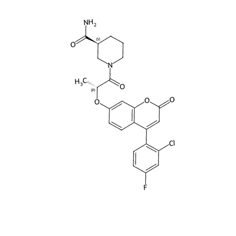 C[C@@H](Oc1ccc2c(-c3ccc(F)cc3Cl)cc(=O)oc2c1)C(=O)N1CCC[C@H](C(N)=O)C1